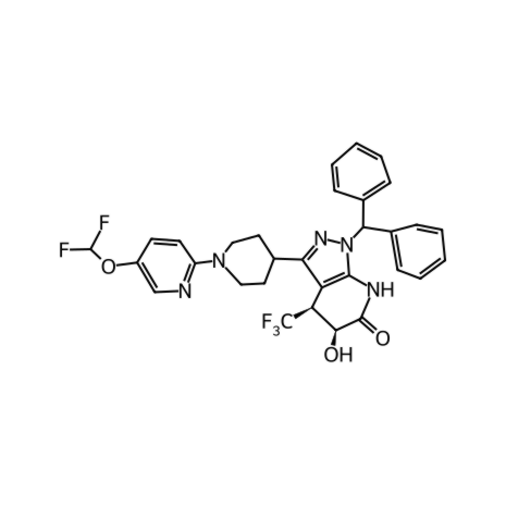 O=C1Nc2c(c(C3CCN(c4ccc(OC(F)F)cn4)CC3)nn2C(c2ccccc2)c2ccccc2)[C@H](C(F)(F)F)[C@@H]1O